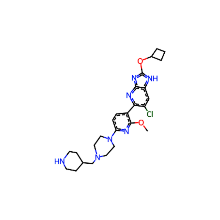 COc1nc(N2CCN(CC3CCNCC3)CC2)ccc1-c1nc2nc(OC3CCC3)[nH]c2cc1Cl